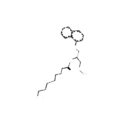 CCCCCCCCCCCCCCCCCC(=O)OC(CNC(C)C)COc1cccc2ccccc12